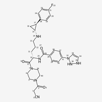 N#CCC(=O)N1CCN(C(=O)[C@H](CCCN[C@@H]2C[C@H]2c2ccc(F)cc2)NC(=O)c2ccc(N3C=CNN3)cc2)CC1